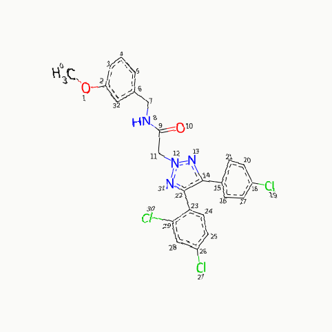 COc1cccc(CNC(=O)Cn2nc(-c3ccc(Cl)cc3)c(-c3ccc(Cl)cc3Cl)n2)c1